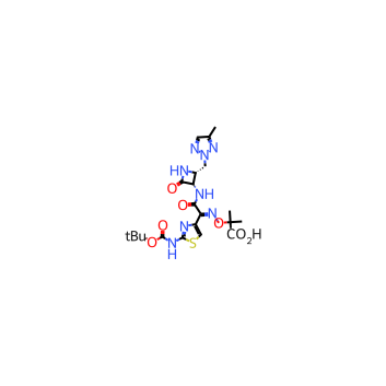 Cc1cnn(C[C@H]2NC(=O)[C@H]2NC(=O)C(=NOC(C)(C)C(=O)O)c2csc(NC(=O)OC(C)(C)C)n2)n1